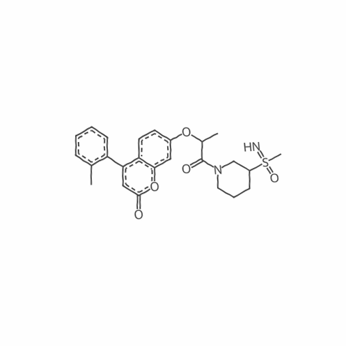 Cc1ccccc1-c1cc(=O)oc2cc(OC(C)C(=O)N3CCCC(S(C)(=N)=O)C3)ccc12